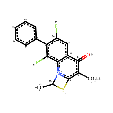 CCOC(=O)c1c2n(c3c(F)c(-c4ccccc4)c(F)cc3c1=O)C(C)S2